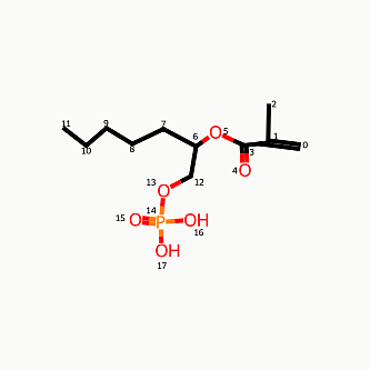 C=C(C)C(=O)OC(CCCCC)COP(=O)(O)O